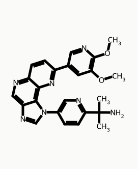 COc1cc(-c2ccc3ncc4ncn(-c5ccc(C(C)(C)N)nc5)c4c3n2)cnc1OC